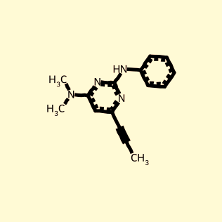 CC#Cc1cc(N(C)C)nc(Nc2ccccc2)n1